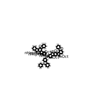 CCCCCCCCC1(CCCCCCCC)c2cc(N(c3ccc4c(c3)C(CCCCCCC)(CCCCCCC)c3c5c(c6oc7ccccc7c6c3-4)-c3ccccc3C5(CCCCCCC)CCCCCCC)c3ccc4c(c3)c3ccccc3n4-c3ccccc3)ccc2-c2cc3c(cc21)-c1c(ccc2oc4ccccc4c12)C3(CCCCCCCC)CCCCCCCC